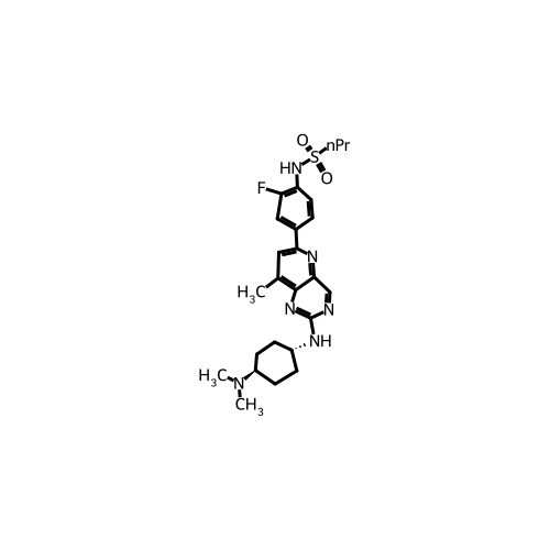 CCCS(=O)(=O)Nc1ccc(-c2cc(C)c3nc(N[C@H]4CC[C@H](N(C)C)CC4)ncc3n2)cc1F